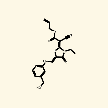 C=CCOC(=O)C(C#N)=c1sc(=CNc2cccc(CO)c2)c(=O)n1CC